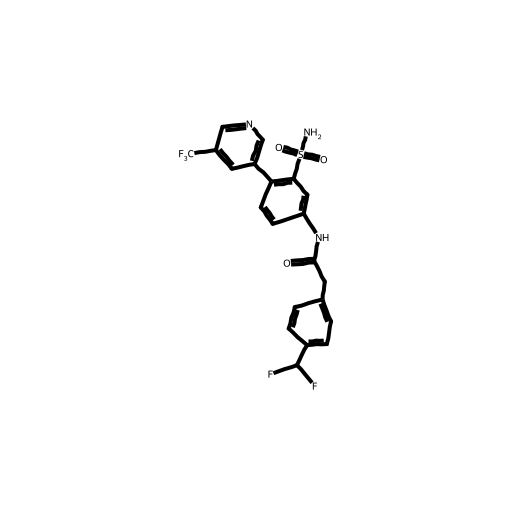 NS(=O)(=O)c1cc(NC(=O)Cc2ccc(C(F)F)cc2)ccc1-c1cncc(C(F)(F)F)c1